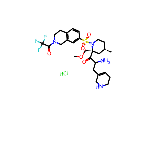 COC(=O)[C@]1(C(=O)C(N)CC2=CCCNC2)C[C@H](C)CCN1S(=O)(=O)c1ccc2c(c1)CN(C(=O)C(F)(F)F)CC2.Cl